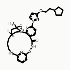 CC1(C)C[C@H]2CCCNc3cccc(n3)SNC(=O)c3ccc(-n4ccc(OCCC5CCCC5)n4)nc3N1C2